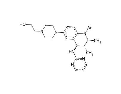 CC(=O)N1c2ccc(N3CCN(CCO)CC3)cc2[C@H](Nc2ncccn2)[C@@H](C)[C@@H]1C